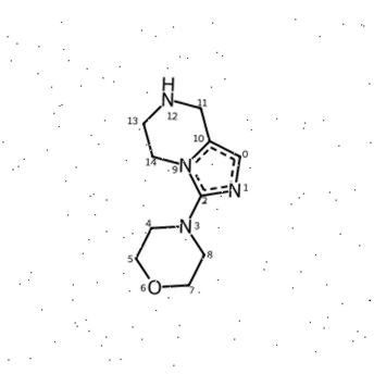 c1nc(N2CCOCC2)n2c1CNCC2